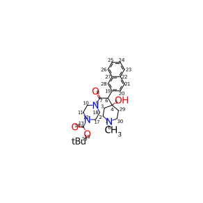 CN1CCC(O)(C(C(=O)N2CCN(C(=O)OC(C)(C)C)CC2)c2ccc3ccccc3c2)CC1